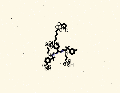 Cc1ccc2c(c1)C(C)(C)C(/C=C/C(=C/C=C1/N(CCCS(=O)(=O)O)c3ccc(S(=O)(=O)O)cc3C1(C)C)c1cc[n+](CCCCCC(=O)ON3C(=O)CCC3=O)cc1)=[N+]2CCCS(=O)(=O)O